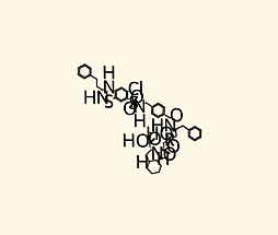 O=C(NC(Cc1ccccc1)CP(=O)(O)CC(=O)N1[C@@H]2CCCC[C@@H]2C[C@H]1C(=O)O)c1ccc(CNS(=O)(=O)c2cc3c(cc2Cl)NC(CCc2ccccc2)NS3)cc1